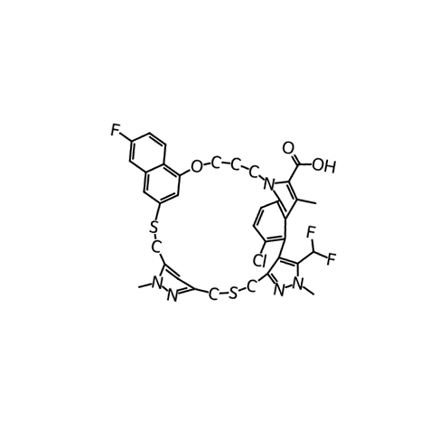 Cc1c(C(=O)O)n2c3ccc(Cl)c(c13)-c1c(nn(C)c1C(F)F)CSCc1cc(n(C)n1)CSc1cc(c3ccc(F)cc3c1)OCCC2